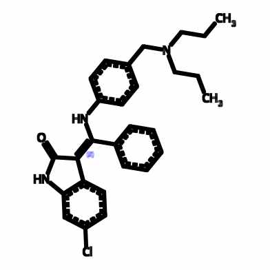 CCCN(CCC)Cc1ccc(N/C(=C2\C(=O)Nc3cc(Cl)ccc32)c2ccccc2)cc1